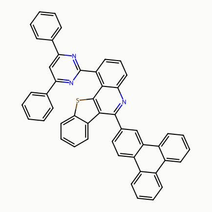 c1ccc(-c2cc(-c3ccccc3)nc(-c3cccc4nc(-c5ccc6c7ccccc7c7ccccc7c6c5)c5c6ccccc6sc5c34)n2)cc1